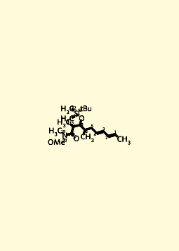 CC=CC=CCC(C)C(O[Si](C)(C)C(C)(C)C)C(C)C(=O)N(C)OC